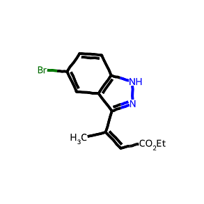 CCOC(=O)/C=C(/C)c1n[nH]c2ccc(Br)cc12